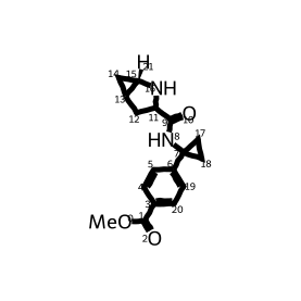 COC(=O)c1ccc(C2(NC(=O)C3CC4C[C@@H]4N3)CC2)cc1